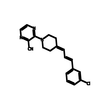 N#Cc1nccnc1N1CCC(=C/C=C/c2cccc(Cl)c2)CC1